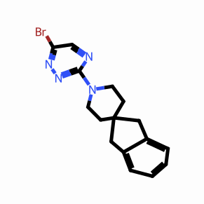 Brc1cnc(N2CCC3(CC2)Cc2ccccc2C3)nn1